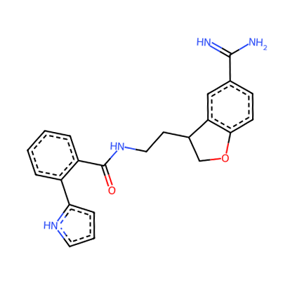 N=C(N)c1ccc2c(c1)C(CCNC(=O)c1ccccc1-c1ccc[nH]1)CO2